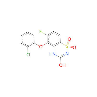 O=S1(=O)N=C(O)Nc2c1ccc(F)c2Oc1ccccc1Cl